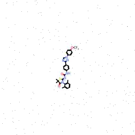 Cc1cccc(C)c1N1C(=O)C(C)(C)S/C1=N\C(=O)Nc1ccc(-c2ncn(-c3ccc(OC(F)(F)F)cc3)n2)cc1